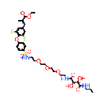 CCCNC(=O)[C@H](O)[C@@H](O)C(=O)NCCOCCOCCOCCNS(=O)(=O)c1ccc(Oc2c(F)cc(/C=C(\C)C(=O)OCC)cc2F)cc1